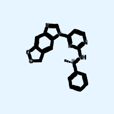 C[C@H](Nc1nccc(-n2cnc3cc4c(cc32)COO4)n1)c1ccccc1